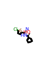 N#C[C@H](N[C@@H](CO)c1ccccc1)c1ccc(Cl)s1